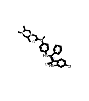 CC1CN(CC(=O)N(C)c2ccc(N/C(=C3\C(=O)Nc4cc(Cl)ccc43)c3ccccc3)cc2)C(C)CN1C